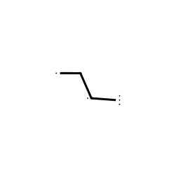 [C][CH]C[CH2]